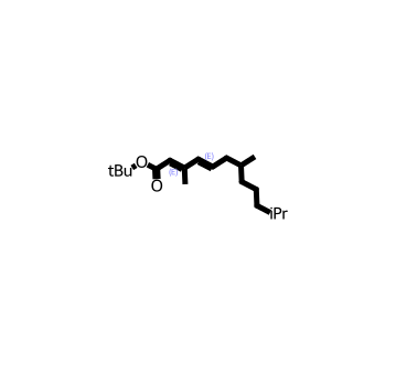 CC(/C=C/CC(C)CCCC(C)C)=C\C(=O)OC(C)(C)C